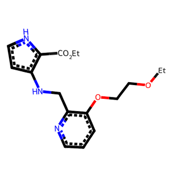 CCOCCOc1cccnc1CNc1cc[nH]c1C(=O)OCC